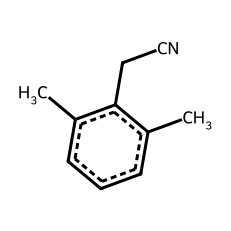 Cc1cccc(C)c1CC#N